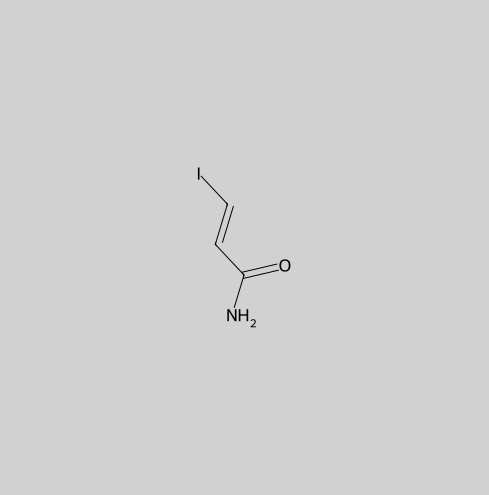 NC(=O)C=CI